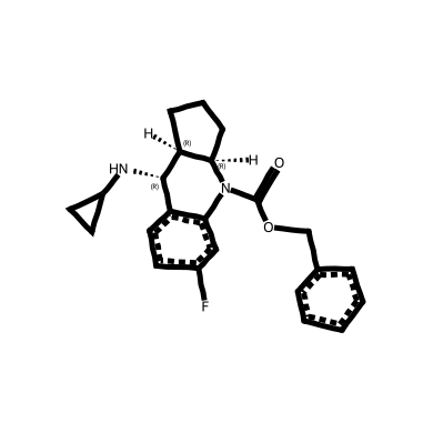 O=C(OCc1ccccc1)N1c2cc(F)ccc2[C@H](NC2CC2)[C@H]2CCC[C@H]21